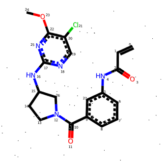 C=CC(=O)Nc1cccc(C(=O)N2CCC(Nc3ncc(Cl)c(OC)n3)C2)c1